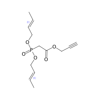 C#CCOC(=O)CP(=O)(OC/C=C/C)OC/C=C/C